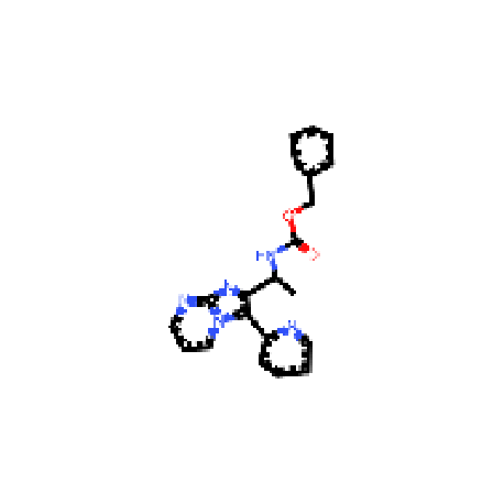 CC(NC(=O)OCc1ccccc1)c1nc2ncccn2c1-c1ccccn1